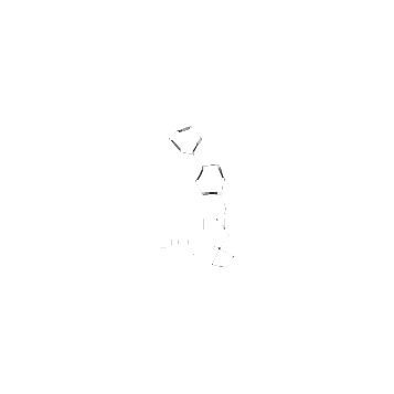 CCOC(=O)C1(CNCc2ccc(-c3ccccc3)cc2)CCC1